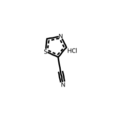 Cl.N#Cc1cncs1